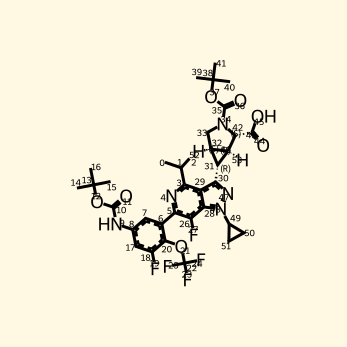 CC(C)c1nc(-c2cc(NC(=O)OC(C)(C)C)cc(F)c2OC(F)(F)F)c(F)c2c1c([C@@H]1[C@H]3CN(C(=O)OC(C)(C)C)[C@H](C(=O)O)[C@H]31)nn2C1CC1